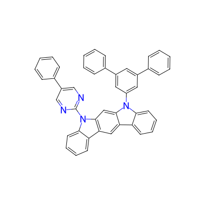 c1ccc(-c2cnc(-n3c4ccccc4c4cc5c6ccccc6n(-c6cc(-c7ccccc7)cc(-c7ccccc7)c6)c5cc43)nc2)cc1